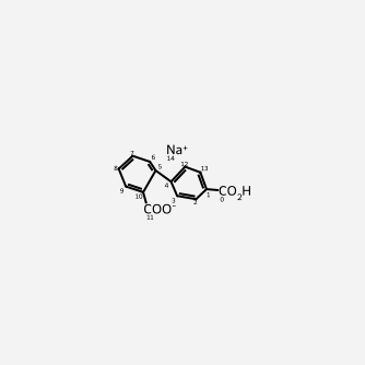 O=C(O)c1ccc(-c2ccccc2C(=O)[O-])cc1.[Na+]